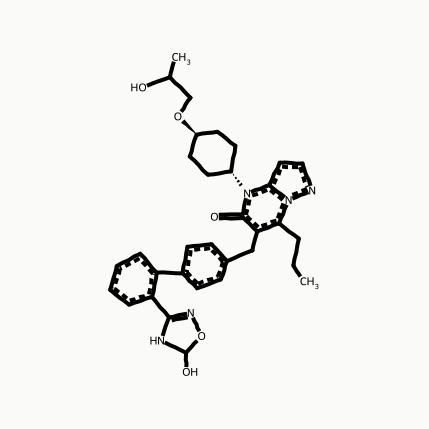 CCCc1c(Cc2ccc(-c3ccccc3C3=NOC(O)N3)cc2)c(=O)n([C@H]2CC[C@H](OCC(C)O)CC2)c2ccnn12